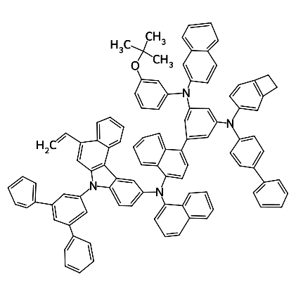 C=Cc1cc2c(c3ccccc13)c1cc(N(c3cccc4ccccc34)c3ccc(-c4cc(N(c5ccc(-c6ccccc6)cc5)c5ccc6c(c5)CC6)cc(N(c5cccc(OC(C)(C)C)c5)c5ccc6ccccc6c5)c4)c4ccccc34)ccc1n2-c1cc(-c2ccccc2)cc(-c2ccccc2)c1